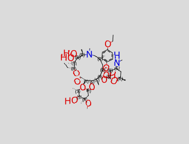 CCOc1ccc(O[C@H]2[C@H](O[C@@H]3[C@@H](C)[C@H](O[C@H]4C[C@@](C)(OC)[C@@H](O)[C@H](C)O4)[C@@H](C)C(=O)O[C@H](CC)[C@@](C)(O)[C@H](O)[C@@H](C)N(C)C[C@H](C)C[C@@]3(C)O)O[C@H](C)C[C@@H]2NC)cc1